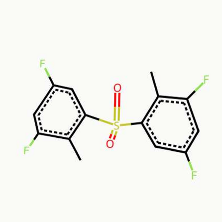 Cc1c(F)cc(F)cc1S(=O)(=O)c1cc(F)cc(F)c1C